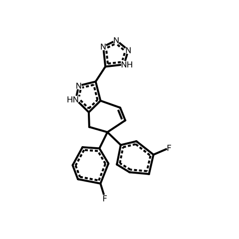 Fc1cccc(C2(c3cccc(F)c3)C=Cc3c(-c4nnn[nH]4)n[nH]c3C2)c1